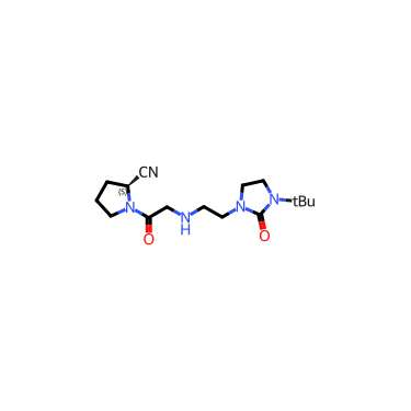 CC(C)(C)N1CCN(CCNCC(=O)N2CCC[C@H]2C#N)C1=O